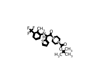 Cc1c(NC(C(=O)N2CCN(C(=O)OC(C)(C)C)CC2)c2cccs2)cccc1C(F)(F)F